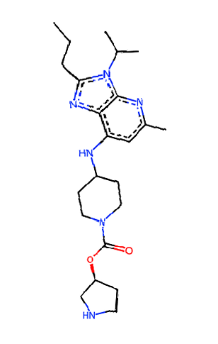 CCCc1nc2c(NC3CCN(C(=O)O[C@H]4CCNC4)CC3)cc(C)nc2n1C(C)C